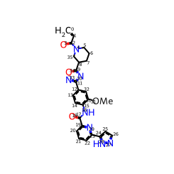 C=CC(=O)N1CCCC(c2nc(-c3ccc(NC(=O)c4cccc(-c5ccn[nH]5)n4)c(OC)c3)no2)C1